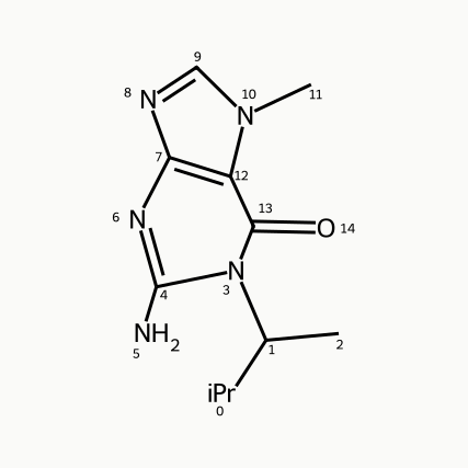 CC(C)C(C)n1c(N)nc2ncn(C)c2c1=O